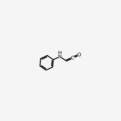 O=C=CNc1ccccc1